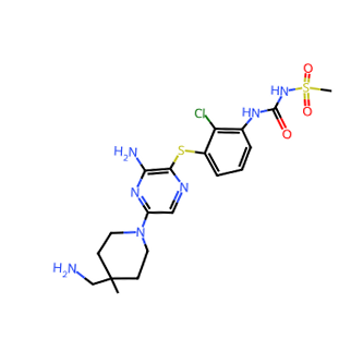 CC1(CN)CCN(c2cnc(Sc3cccc(NC(=O)NS(C)(=O)=O)c3Cl)c(N)n2)CC1